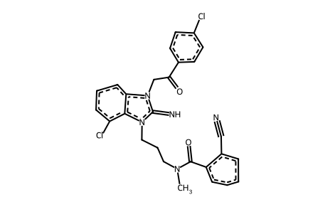 CN(CCCn1c(=N)n(CC(=O)c2ccc(Cl)cc2)c2cccc(Cl)c21)C(=O)c1ccccc1C#N